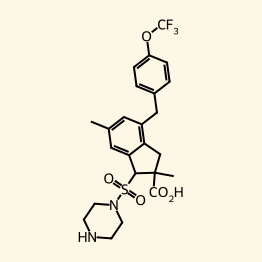 Cc1cc(Cc2ccc(OC(F)(F)F)cc2)c2c(c1)C(S(=O)(=O)N1CCNCC1)C(C)(C(=O)O)C2